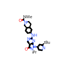 CNC(=O)N1CCc2cc(Nc3ncc4c(=O)n(C(C)C)n(-c5ccnc(C(C)(C)C)c5)c4n3)ccc2C1